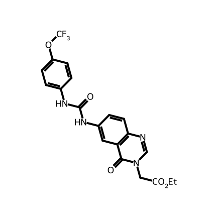 CCOC(=O)Cn1cnc2ccc(NC(=O)Nc3ccc(OC(F)(F)F)cc3)cc2c1=O